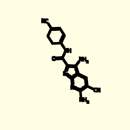 N#CC1=CC=C(NC(=O)c2sc3nc(N)c(C#N)cc3c2N)CC1